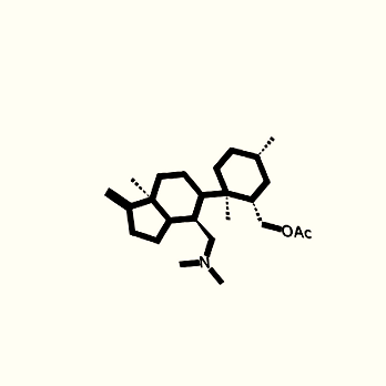 C=C1CCC2[C@H](CN(C)C)C([C@@]3(C)CC[C@H](C)C[C@@H]3COC(C)=O)CC[C@]12C